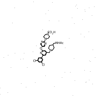 CC(=O)NCC1CCN(Cc2cc(Oc3cnc(N4CCN(C(=O)O)CC4)nc3)nc(-c3cc(Cl)cc(Cl)c3)c2)CC1